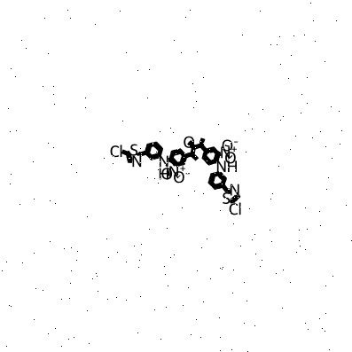 CC(C(=O)C(C)c1ccc(Nc2cccc(-c3ncc(Cl)s3)c2)c([N+](=O)[O-])c1)c1ccc(Nc2cccc(-c3ncc(Cl)s3)c2)c([N+](=O)[O-])c1